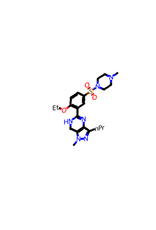 CCCc1nn(C)c2c1N=C(c1cc(S(=O)(=O)N3CCN(C)CC3)ccc1OCC)NC2